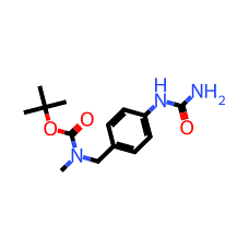 CN(Cc1ccc(NC(N)=O)cc1)C(=O)OC(C)(C)C